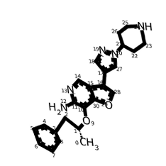 C[C@H](Cc1ccccc1)Oc1c(N)ncc2c(-c3cnn(C4CCNCC4)c3)coc12